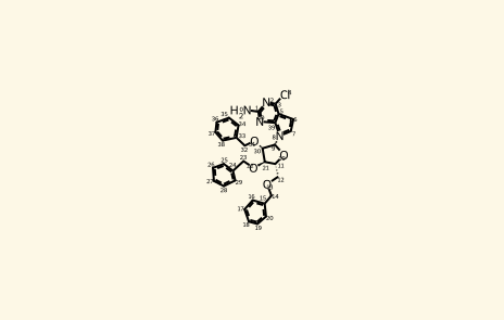 Nc1nc(Cl)c2ccn([C@@H]3O[C@H](COCc4ccccc4)[C@@H](OCc4ccccc4)[C@@H]3OCc3ccccc3)c2n1